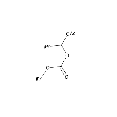 CC(=O)OC(OC(=O)OC(C)C)C(C)C